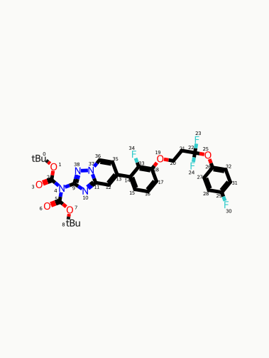 CC(C)(C)OC(=O)N(C(=O)OC(C)(C)C)c1nc2cc(-c3cccc(OCCC(F)(F)Oc4ccc(F)cc4)c3F)ccn2n1